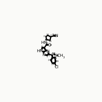 Cn1nc(-c2cnc3[nH]cc(C(=O)N[C@@H]4CCC(C#N)C4)c3n2)c2ccc(Cl)cc21